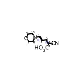 N#C/C(=C/C=C/N1CCOCC1)C(=O)O